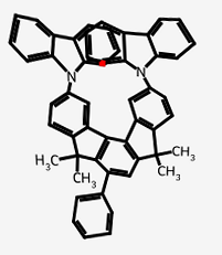 CC1(C)c2ccc(-n3c4ccccc4c4ccccc43)cc2-c2c1cc(-c1ccccc1)c1c2-c2cc(-n3c4ccccc4c4ccccc43)ccc2C1(C)C